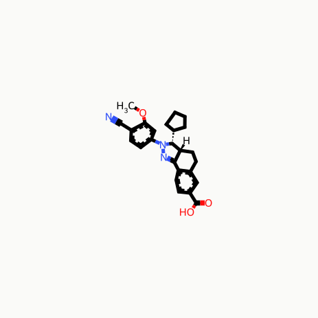 COc1cc(N2N=C3c4ccc(C(=O)O)cc4CC[C@H]3[C@H]2C2CCCC2)ccc1C#N